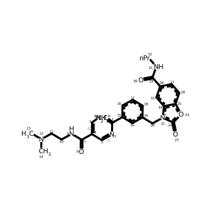 C=C(/N=C\C(=C/N)C(=O)NCCN(C)C)c1cccc(Cn2c(=O)oc3ccc(C(=O)NCCC)cc32)c1